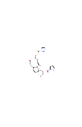 CO[C@H]1C[C@H]2C=C[C@@H]3C[C@]2(O[C@H]3[C@H](OC(=O)c2ccc[nH]2)[C@H](C)[C@H](C)O)/C(C)=C/[C@@H](C)[C@@H]([C@@H](C)OC(=S)n2ccnc2)OC1=O